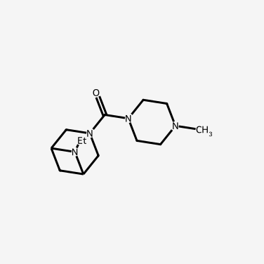 CCN1C2CC1CN(C(=O)N1CCN(C)CC1)C2